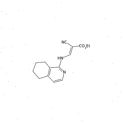 CCOC(=O)C(C#N)=CNc1nccc2c1CCCC2